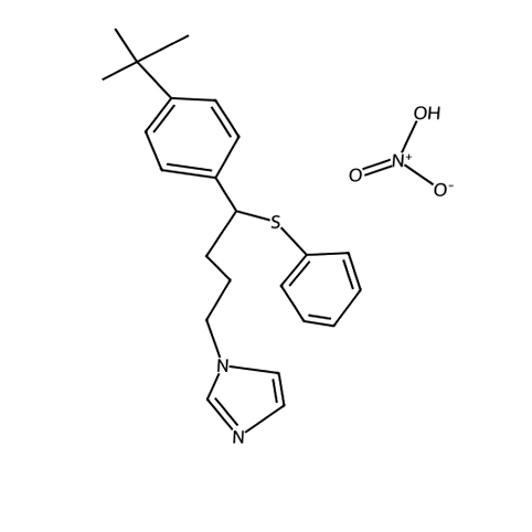 CC(C)(C)c1ccc(C(CCCn2ccnc2)Sc2ccccc2)cc1.O=[N+]([O-])O